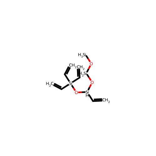 C=C[SiH](O[SiH2]O[SiH3])O[Si](C=C)(C=C)C=C